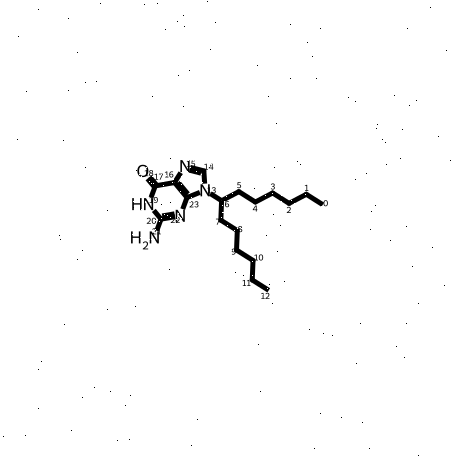 CCCCCCC(CCCCCC)n1cnc2c(=O)[nH]c(N)nc21